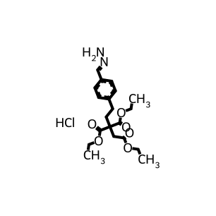 CCOC(=O)CC(CCc1ccc(C=NN)cc1)(C(=O)OCC)C(=O)OCC.Cl